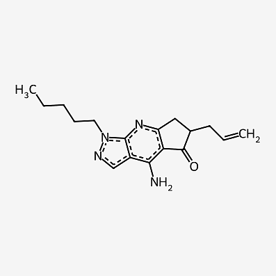 C=CCC1Cc2nc3c(cnn3CCCCC)c(N)c2C1=O